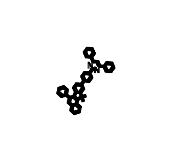 CC1(C)c2cc(-c3ccc(-c4nc(-c5ccccc5)cc(-c5ccccc5)n4)cc3)ccc2-c2c(-c3ccccc3)cc3ccccc3c21